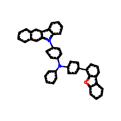 c1ccc(N(c2ccc(-c3cccc4c3oc3ccccc34)cc2)c2ccc(-n3c4ccccc4c4cc5ccccc5cc43)cc2)cc1